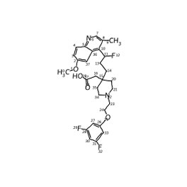 COc1ccc2ncc(C)c(C(F)CCC3(CC(=O)O)CCN(CCOc4cc(F)cc(F)c4)CC3)c2c1